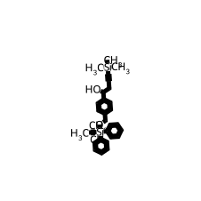 CC(C)(C)[Si](OCc1ccc(C(O)CC#C[Si](C)(C)C)cc1)(c1ccccc1)c1ccccc1